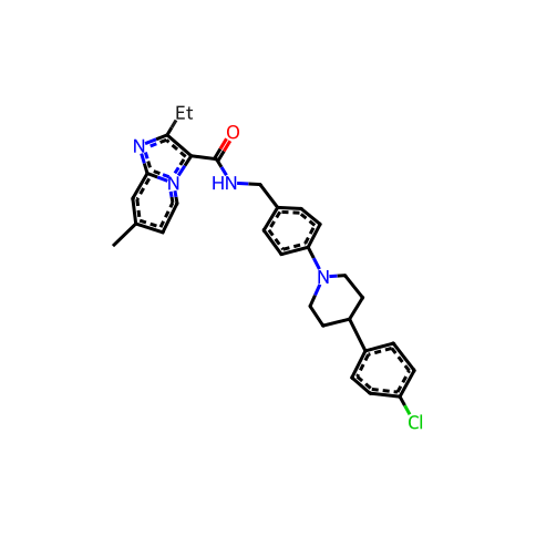 CCc1nc2cc(C)ccn2c1C(=O)NCc1ccc(N2CCC(c3ccc(Cl)cc3)CC2)cc1